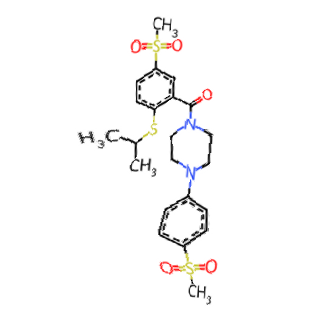 CC(C)Sc1ccc(S(C)(=O)=O)cc1C(=O)N1CCN(c2ccc(S(C)(=O)=O)cc2)CC1